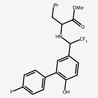 COC(=O)C(CC(C)C)NC(c1ccc(O)c(-c2ccc(F)cc2)c1)C(F)(F)F